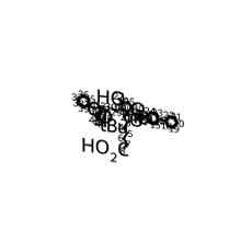 CCCC[C@]1(CCCCCCC(=O)O)[C@@H](OC(=O)c2ccc(-c3ccccc3)cc2)CC(O)[C@@H]1CC[C@@H](COc1ccccc1)O[Si](C)(C)C(C)(C)C